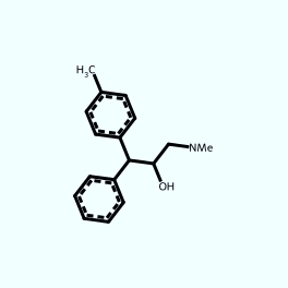 CNCC(O)C(c1ccccc1)c1ccc(C)cc1